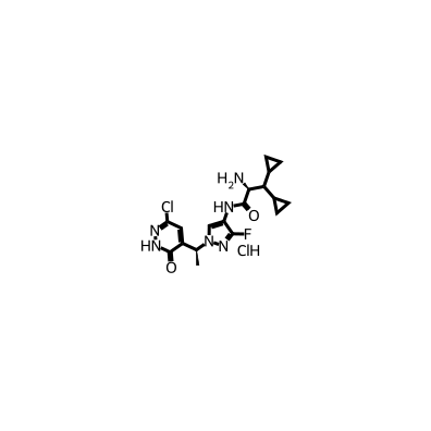 C[C@@H](c1cc(Cl)n[nH]c1=O)n1cc(NC(=O)[C@@H](N)C(C2CC2)C2CC2)c(F)n1.Cl